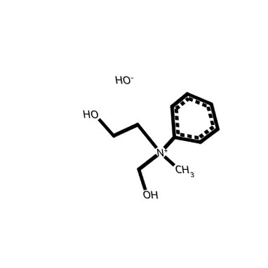 C[N+](CO)(CCO)c1ccccc1.[OH-]